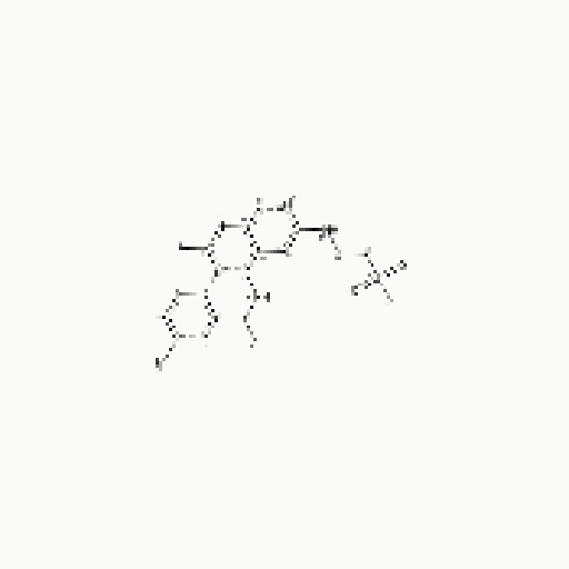 Cc1nc(NC(C)c2cccc(Br)c2)c2cc(NCCS(C)(=O)=O)ncc2n1